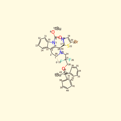 C[C@@H]1Cc2c(n(C(=O)OC(C)(C)C)c3ccccc23)[C@@H](c2ncc(Br)s2)N1CC(F)(F)CO[Si](c1ccccc1)(c1ccccc1)C(C)(C)C